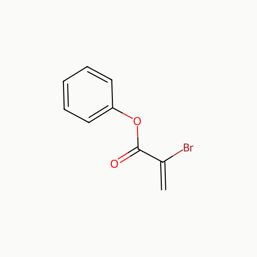 C=C(Br)C(=O)Oc1ccccc1